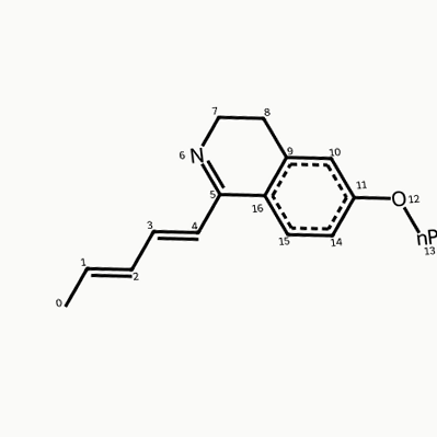 C/C=C/C=C/C1=NCCc2cc(OCCC)ccc21